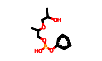 CC(O)COC(C)COP(O)Oc1ccccc1